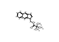 CC(C)(C)C(=O)OCC1C=Cc2cc3ccccc3cc21